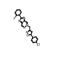 Fc1ccccc1-c1nc2cnn(Cc3cc(-c4ccc(Cl)cc4)on3)cc-2n1